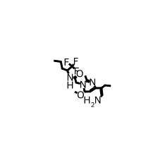 CCCC(NC(=O)CN1C(C)=NC(/C(=C\N)CC)=CC1OC)C(F)(F)F